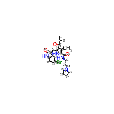 CC(=O)c1c(C=C2C(=O)Nc3ccc(Br)cc32)[nH]c(C(=O)NCCCN2CCCC2)c1C